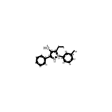 CCc1c(O)c(-c2ccccc2)nn1-c1cccc(C)c1